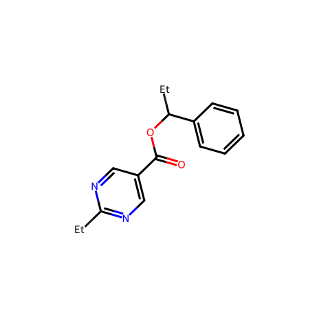 CCc1ncc(C(=O)OC(CC)c2ccccc2)cn1